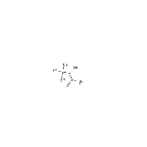 CC(C)(C)C(=O)[C@@H](N)C(C)(C)O